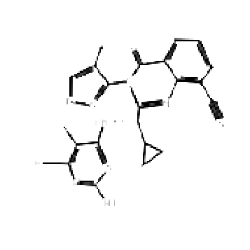 Cc1c[nH]nc1-n1c([C@@H](Nc2nc(N)nc(N)c2Cl)C2CC2)nc2c(C#N)cccc2c1=O